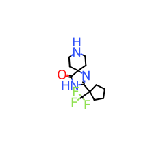 O=C1NC(C2(C(F)(F)F)CCCC2)=NC12CCNCC2